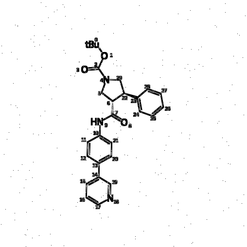 CC(C)(C)OC(=O)N1C[C@@H](C(=O)Nc2ccc(-c3cccnc3)cc2)[C@H](c2ccccc2)C1